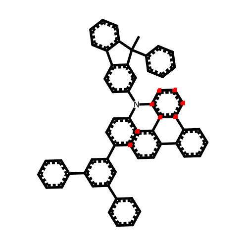 CC1(c2ccccc2)c2ccccc2-c2ccc(N(c3ccc(-c4cc(-c5ccccc5)cc(-c5ccccc5)c4)cc3)c3ccccc3-c3ccccc3-c3ccccc3-c3ccccc3)cc21